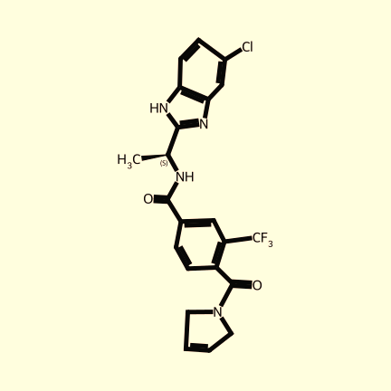 C[C@H](NC(=O)c1ccc(C(=O)N2CC=CC2)c(C(F)(F)F)c1)c1nc2cc(Cl)ccc2[nH]1